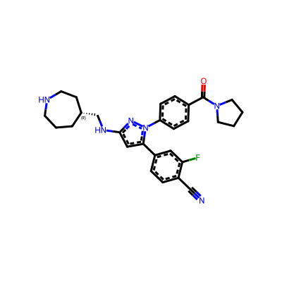 N#Cc1ccc(-c2cc(NC[C@@H]3CCCNCC3)nn2-c2ccc(C(=O)N3CCCC3)cc2)cc1F